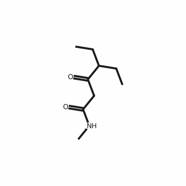 CCC(CC)C(=O)CC(=O)NC